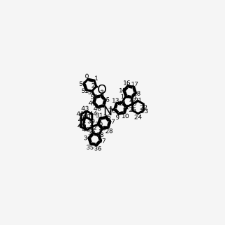 C1=CC2Oc3cc(N(c4ccc5c(c4)-c4ccccc4C54CCCCC4)c4ccc5c(c4)C4(c6ccccc6-5)C5CC6CC(C5)CC4C6)ccc3C2C=C1